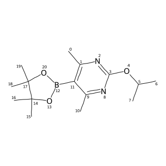 Cc1nc(OC(C)C)nc(C)c1B1OC(C)(C)C(C)(C)O1